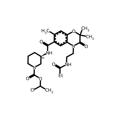 CCC(=O)NCCN1C(=O)C(C)(C)Oc2cc(C)c(C(=O)N[C@@H]3CCCN(C(=O)OC(C)Cl)C3)cc21